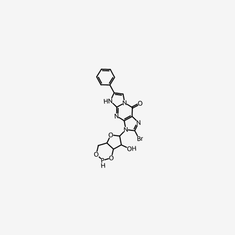 O=c1c2nc(Br)n(C3OC4COPOC4C3O)c2nc2[nH]c(-c3ccccc3)cn12